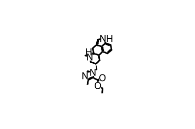 CCOC(=O)c1c(C)ncn1C[C@@H]1CC2c3cccc4[nH]cc(c34)C[C@H]2N(C)C1